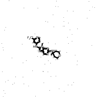 Cn1c(Nc2ccnc(C(F)(F)F)c2)nc2cnc(NC3(C)CCOCC3)nc21